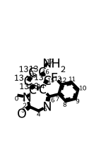 CN1C(=O)CN=C(c2ccccc2F)[13c]2[13cH][13c](N)[13cH][13cH][13c]21